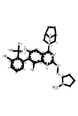 CN1CCC[C@H]1COc1nc(N2CC3CCC(C2)N3)c2cc(Cl)c(-c3cccc(F)c3C(F)(F)F)c(F)c2n1